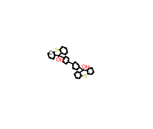 OC1(c2ccc(-c3ccc(C4(O)c5ccccc5Sc5ccccc54)cc3)cc2)c2ccccc2Sc2ccccc21